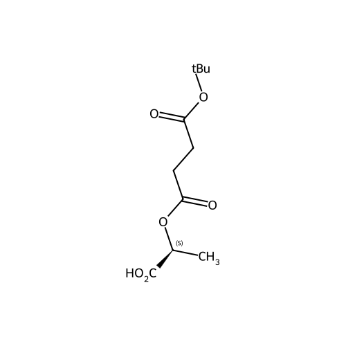 C[C@H](OC(=O)CCC(=O)OC(C)(C)C)C(=O)O